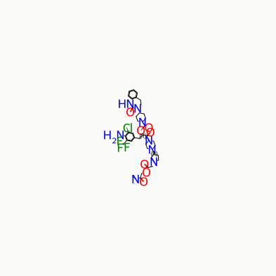 CN(C)C(=O)COC(=O)CN1CC[C@@H](N2CCN(C(=O)[C@@H](Cc3cc(Cl)c(N)c(C(F)(F)F)c3)OC(=O)N3CCC(N4CCc5ccccc5NC4=O)CC3)CC2)C1